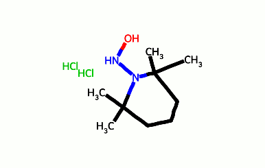 CC1(C)CCCC(C)(C)N1NO.Cl.Cl